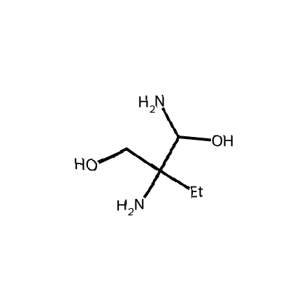 CCC(N)(CO)C(N)O